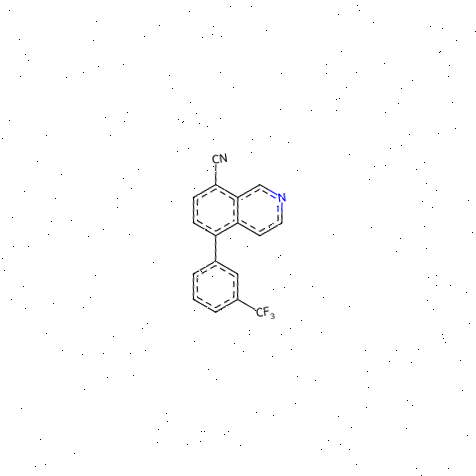 N#Cc1ccc(-c2cccc(C(F)(F)F)c2)c2ccncc12